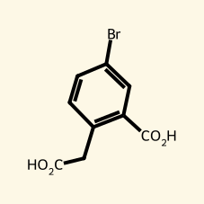 O=C(O)Cc1ccc(Br)cc1C(=O)O